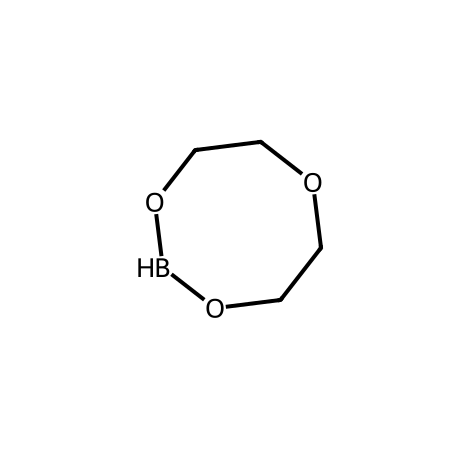 B1OCCOCCO1